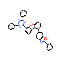 c1ccc(-c2nc(-c3ccccc3)nc(-c3cccc4c3oc3cccc(-c5ccc6nc(-c7ccccc7)oc6c5)c34)n2)cc1